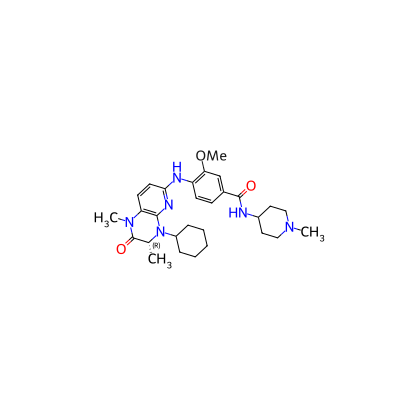 COc1cc(C(=O)NC2CCN(C)CC2)ccc1Nc1ccc2c(n1)N(C1CCCCC1)[C@H](C)C(=O)N2C